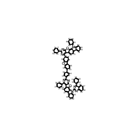 c1ccc(-c2nc(-c3ccc4c(c3)oc3cc(-c5ccc(-c6nc(-c7ccccc7)c7c(n6)oc6c7ccc7c8ccccc8n(-c8nc(-c9ccccc9)c9ccccc9n8)c76)cc5)ccc34)c3c(n2)oc2c3ccc3c4ccccc4n(-c4ccccc4)c32)cc1